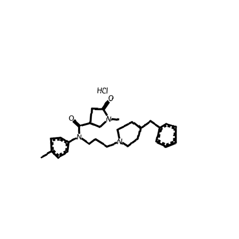 Cc1ccc(N(CCCN2CCC(Cc3ccccc3)CC2)C(=O)C2CC(=O)N(C)C2)cc1.Cl